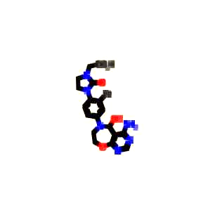 CCc1cc(N2CCOc3ncnc(N)c3C2O)ccc1N1CCN(CC(=O)O)C1=O